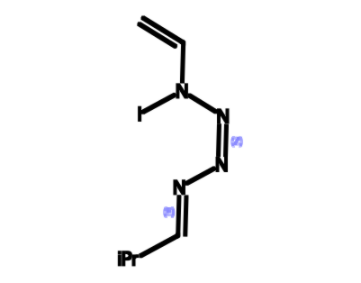 C=CN(I)/N=N\N=C\C(C)C